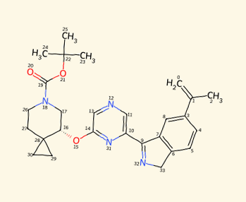 C=C(C)c1ccc2c(c1)C(c1cncc(O[C@H]3CN(C(=O)OC(C)(C)C)CCC34CC4)n1)=NC2